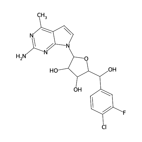 Cc1nc(N)nc2c1ccn2C1OC(C(O)c2ccc(Cl)c(F)c2)C(O)C1O